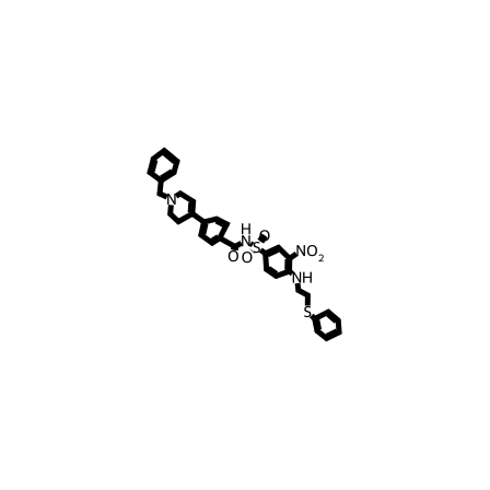 O=C(NS(=O)(=O)c1ccc(NCCSc2ccccc2)c([N+](=O)[O-])c1)c1ccc(C2=CCN(Cc3ccccc3)CC2)cc1